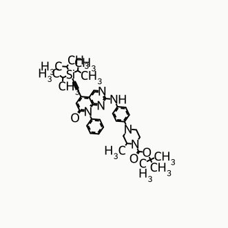 CC1CN(c2ccc(Nc3ncc4c(C#C[Si](C(C)C)(C(C)C)C(C)C)cc(=O)n(-c5ccccc5)c4n3)cc2)CCN1C(=O)OC(C)(C)C